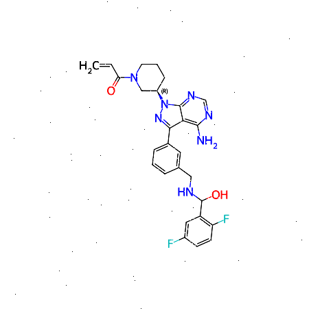 C=CC(=O)N1CCC[C@@H](n2nc(-c3cccc(CNC(O)c4cc(F)ccc4F)c3)c3c(N)ncnc32)C1